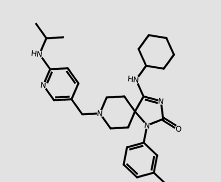 CC(C)Nc1ccc(CN2CCC3(CC2)C(NC2CCCCC2)=NC(=O)N3c2cccc(F)c2)cn1